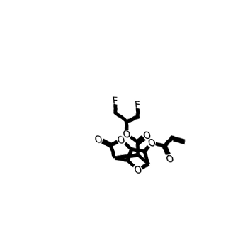 C=CC(=O)OC1C2OC(=O)C3C2OC1C3C(=O)OC(CF)CF